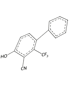 N#Cc1c(O)ccc(-c2ccccc2)c1C(F)(F)F